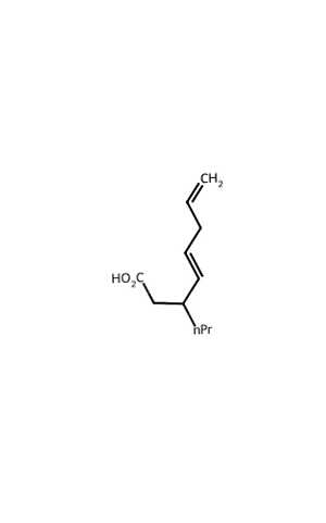 C=CCC=CC(CCC)CC(=O)O